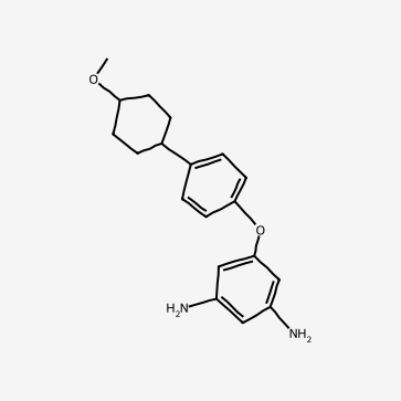 COC1CCC(c2ccc(Oc3cc(N)cc(N)c3)cc2)CC1